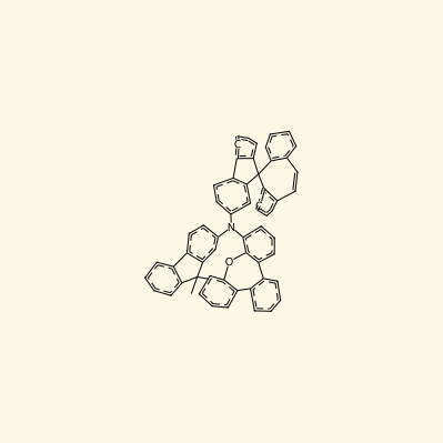 CC1(C)c2ccccc2-c2ccc(N(c3ccc4c(c3)C3(c5ccccc5C=Cc5ccccc53)c3ccccc3-4)c3cccc4c3Oc3ccccc3-c3ccccc3-4)cc21